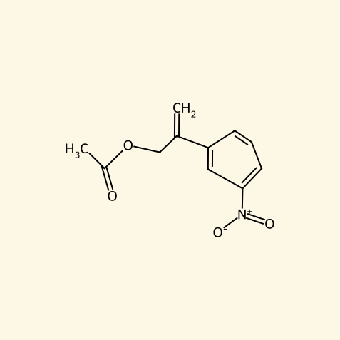 C=C(COC(C)=O)c1cccc([N+](=O)[O-])c1